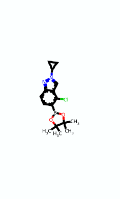 CC1(C)OB(c2ccc3nn(C4CC4)cc3c2Cl)OC1(C)C